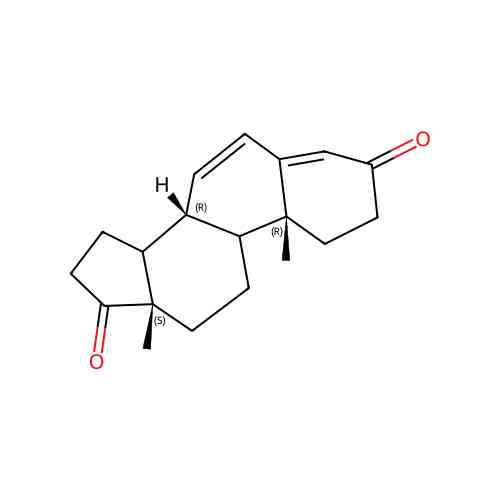 C[C@]12CCC(=O)C=C1C=C[C@@H]1C2CC[C@]2(C)C(=O)CCC12